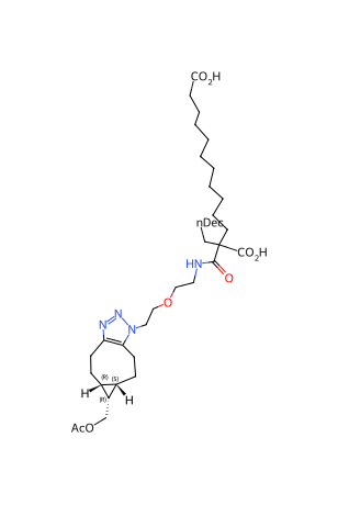 CCCCCCCCCCCC(CCCCCCCCCCC(=O)O)(C(=O)O)C(=O)NCCOCCn1nnc2c1CC[C@H]1[C@@H](CC2)[C@H]1COC(C)=O